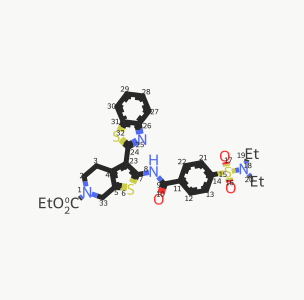 CCOC(=O)N1CCc2c(sc(NC(=O)c3ccc(S(=O)(=O)N(CC)CC)cc3)c2-c2nc3ccccc3s2)C1